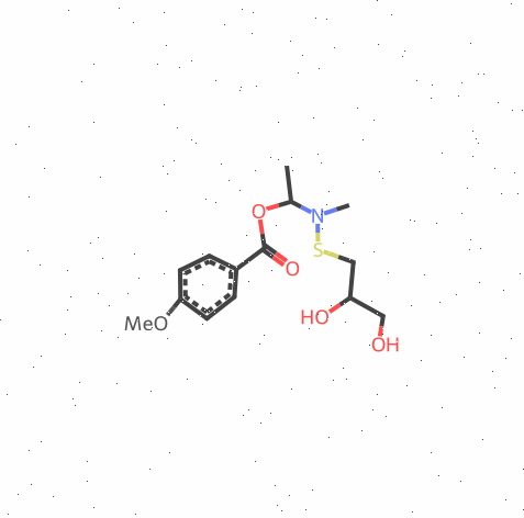 COc1ccc(C(=O)OC(C)N(C)SCC(O)CO)cc1